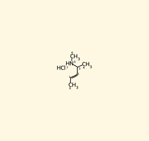 C/C=C/C(C)NC.Cl